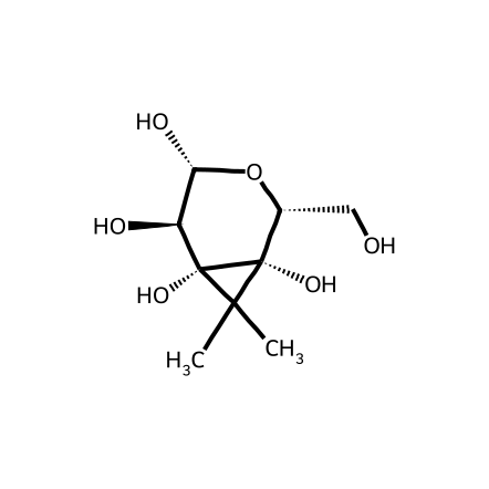 CC1(C)[C@]2(O)[C@@H](CO)O[C@@H](O)[C@H](O)[C@]12O